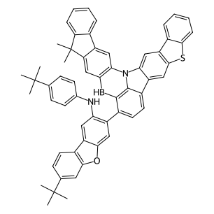 CC(C)(C)c1ccc(Nc2cc3c(cc2-c2ccc4c5cc6sc7ccccc7c6cc5n5c4c2Bc2cc4c(cc2-5)-c2ccccc2C4(C)C)oc2cc(C(C)(C)C)ccc23)cc1